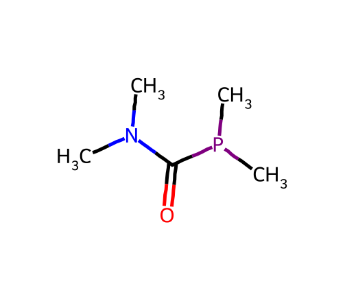 CN(C)C(=O)P(C)C